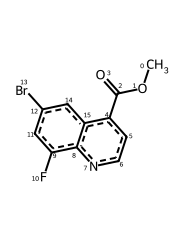 COC(=O)c1ccnc2c(F)cc(Br)cc12